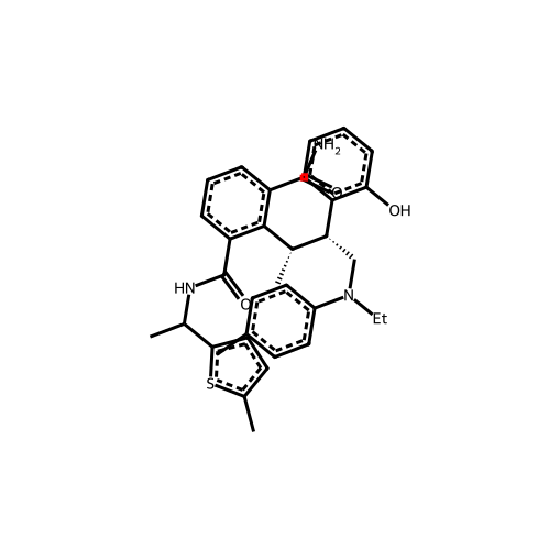 CCN(C[C@@H](c1ccccc1O)[C@H](C)c1c(C(N)=O)cccc1C(=O)NC(C)c1ccc(C)s1)c1ccc(C)cc1